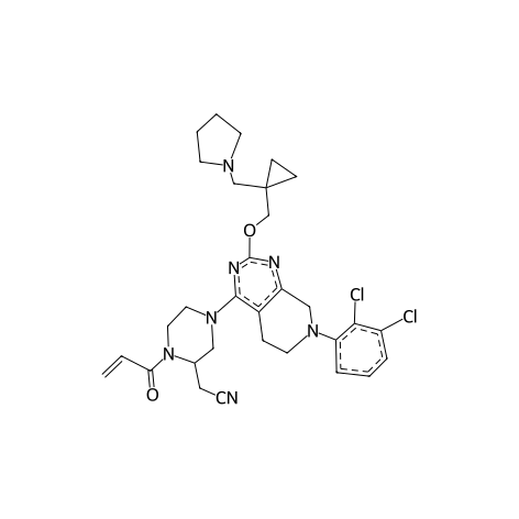 C=CC(=O)N1CCN(c2nc(OCC3(CN4CCCC4)CC3)nc3c2CCN(c2cccc(Cl)c2Cl)C3)CC1CC#N